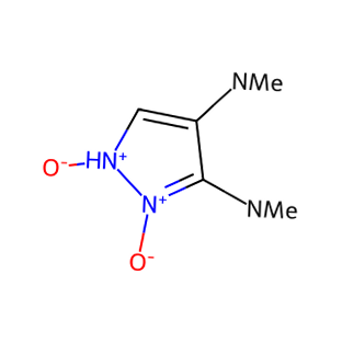 CNC1=C[NH+]([O-])[N+]([O-])=C1NC